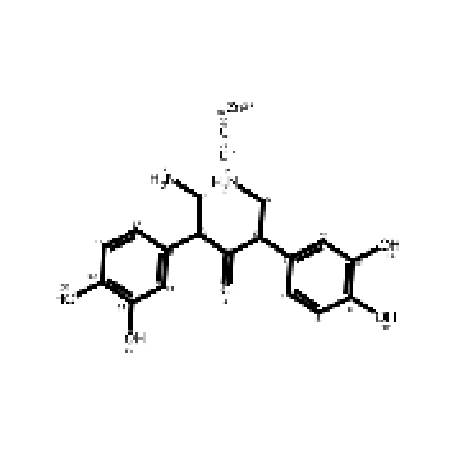 NCC(C(=O)C(CN)c1ccc(O)c(O)c1)c1ccc(O)c(O)c1.[Cl-].[Cl-].[Zn+2]